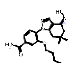 CCCCOc1cc(C(N)=O)ccc1-n1ncc2c1CC(C)(C)C/C2=N/O